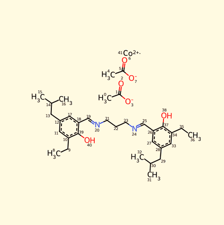 CC(=O)[O-].CC(=O)[O-].CCc1cc(CC(C)C)cc(C=NCCCN=Cc2cc(CC(C)C)cc(CC)c2O)c1O.[Co+2]